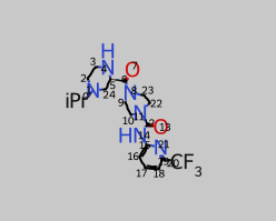 CC(C)N1CCN[C@@H](C(=O)N2CCN(C(=O)Nc3cccc(C(F)(F)F)n3)CC2)C1